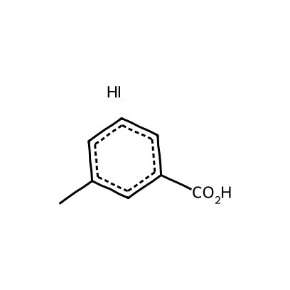 Cc1cccc(C(=O)O)c1.I